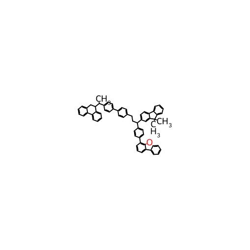 CC(c1ccc(-c2ccc(CCC(c3ccc(-c4cccc5c4oc4ccccc45)cc3)c3ccc4c(c3)C(C)(C)c3ccccc3-4)cc2)cc1)C1Cc2ccccc2-c2ccccc21